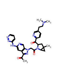 CC(=O)c1nn(CC(=O)N2C(C(=O)c3ccc(CCN(C)C)cn3)CC3(C)CC23)c2cnc(Nc3cccnn3)cc12